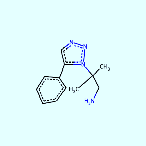 CC(C)(CN)n1nncc1-c1ccccc1